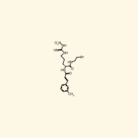 Cc1cccc(/C=C/C(=O)N[C@@H](CCCNC(=N)N[N+](=O)[O-])C(=O)NCCC(C)C)c1